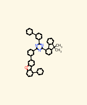 CC1(C)c2ccccc2-c2c(-c3nc(-c4cccc(-c5ccccc5)c4)nc(-c4cccc(-c5ccc6c(c5)oc5cccc(-c7ccccc7)c56)c4)n3)cccc21